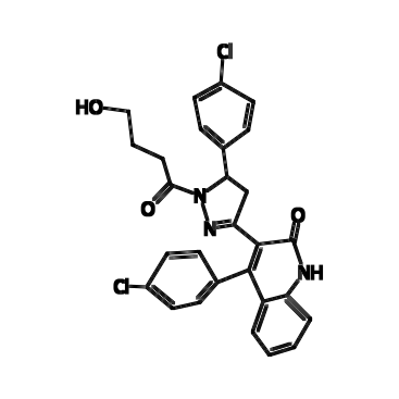 O=C(CCCO)N1N=C(c2c(-c3ccc(Cl)cc3)c3ccccc3[nH]c2=O)CC1c1ccc(Cl)cc1